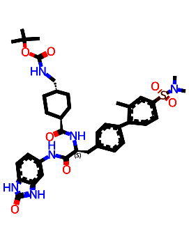 Cc1cc(S(=O)(=O)N(C)C)ccc1-c1ccc(C[C@H](NC(=O)[C@H]2CC[C@H](CNC(=O)OC(C)(C)C)CC2)C(=O)Nc2ccc3[nH]c(=O)[nH]c3c2)cc1